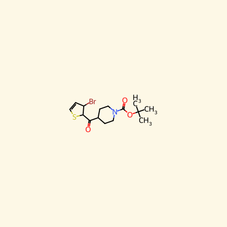 CC(C)(C)OC(=O)N1CCC(C(=O)C2SC=CC2Br)CC1